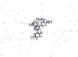 C/C=C(\C=C(/C=N)NC)c1cc(-c2cc(Cl)ccc2F)nc2c1OCCN2